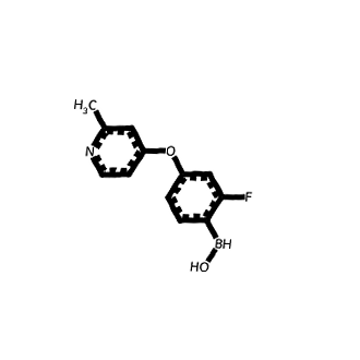 Cc1cc(Oc2ccc(BO)c(F)c2)ccn1